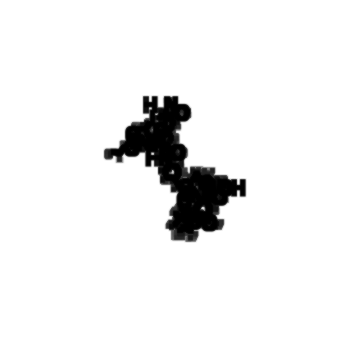 C=CCOC(=O)N[C@H](C(=O)N[C@@H](CCCNC(N)=O)C(=O)Nc1ccc(COC(=O)Nc2cc(O[Si](C(C)C)(C(C)C)C(C)C)c(OC)cc2C(=O)N2CC3(CC3)C[C@H]2CO)cc1)C(C)C